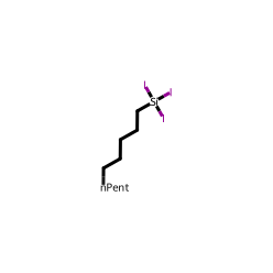 CCCCCCCCCC[Si](I)(I)I